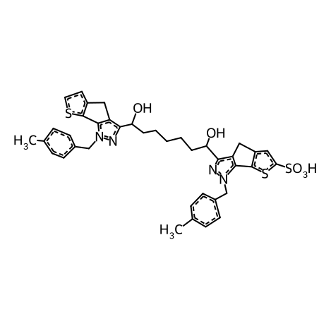 Cc1ccc(Cn2nc(C(O)CCCCCC(O)c3nn(Cc4ccc(C)cc4)c4c3Cc3cc(S(=O)(=O)O)sc3-4)c3c2-c2sccc2C3)cc1